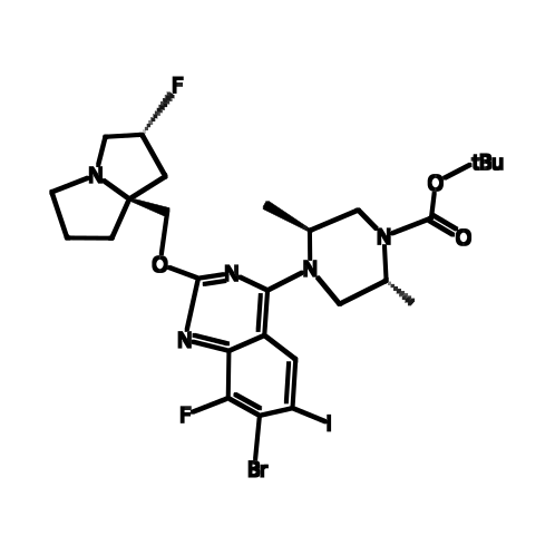 C[C@@H]1CN(c2nc(OC[C@@]34CCCN3C[C@H](F)C4)nc3c(F)c(Br)c(I)cc23)[C@@H](C)CN1C(=O)OC(C)(C)C